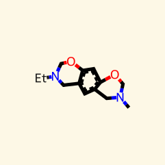 CCN1COc2cc3c(cc2C1)CN(C)CO3